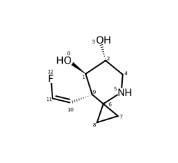 O[C@H]1[C@H](O)CNC2(CC2)[C@@H]1/C=C\F